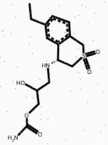 CCc1ccc2c(c1)[C@@H](NCC(O)COC(N)=O)CS(=O)(=O)C2